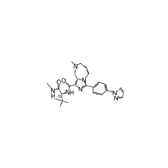 CNC(=O)[C@@H](NC(=O)c1nc(-c2ccc(-n3cccn3)cc2)n2c1CN(C)CCC2)C(C)(C)C